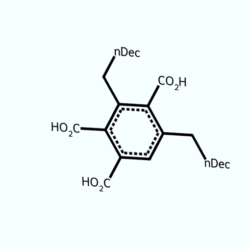 CCCCCCCCCCCc1cc(C(=O)O)c(C(=O)O)c(CCCCCCCCCCC)c1C(=O)O